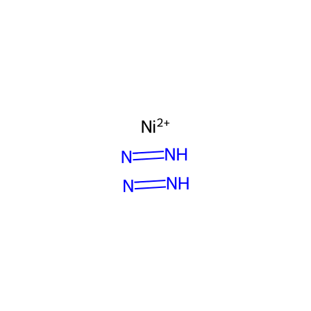 [N-]=N.[N-]=N.[Ni+2]